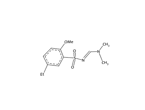 CCc1ccc(OC)c(S(=O)(=O)N=CN(C)C)c1